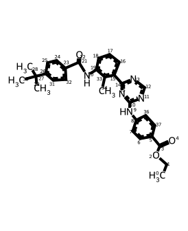 CCOC(=O)c1ccc(Nc2ncnc(-c3cccc(NC(=O)c4ccc(C(C)(C)C)cc4)c3C)n2)cc1